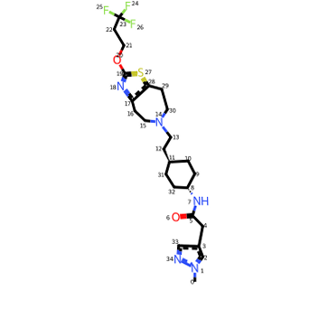 Cn1cc(CC(=O)N[C@H]2CC[C@H](CCN3CCc4nc(OCCC(F)(F)F)sc4CC3)CC2)cn1